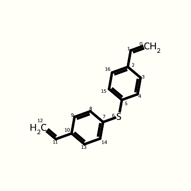 C=Cc1ccc(Sc2ccc(C=C)cc2)cc1